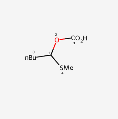 CCCCC(OC(=O)O)SC